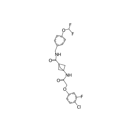 O=C(COc1ccc(Cl)c(F)c1)NC12CC(C(=O)NCc3ccc(OC(F)F)cc3)(C1)C2